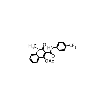 CC(=O)Oc1c(C(=O)Nc2ccc(C(F)(F)F)cc2)c(=O)n(C)c2ccccc12